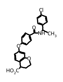 CC(NC(=O)c1ccc(Oc2ccc3c(c2)OCCC3C(=O)O)cc1)c1ccc(Cl)cc1